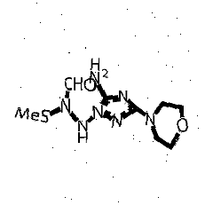 CSN(C=O)Nn1nc(N2CCOCC2)nc1N